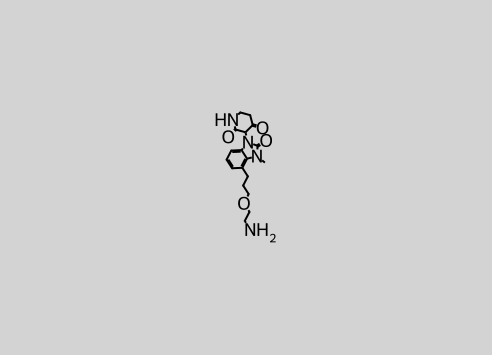 Cn1c(=O)n(C2C(=O)CCNC2=O)c2cccc(CCCOCCN)c21